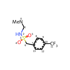 CNCNS(=O)(=O)Cc1ccc(C(F)(F)F)cc1